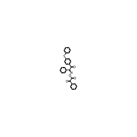 O=C(O/N=C(/C(=O)c1ccc(Sc2ccccc2)cc1)c1ccccc1)C(=O)c1ccccc1